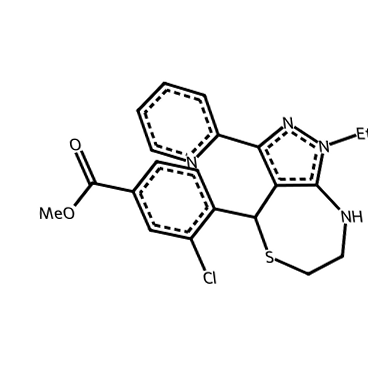 CCn1nc(-c2ccccn2)c2c1NCCSC2c1ccc(C(=O)OC)cc1Cl